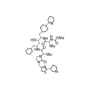 COC(=O)NC(C(=O)NC(Cc1ccc(-c2ccccn2)cc1)C(O)CC(Cc1ccccc1)NC(=O)C(N1CCN(Cc2csc(-c3cccnc3)n2)C1=O)C(C)(C)C)C(C)(C)C